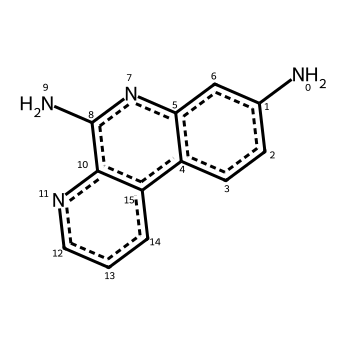 Nc1ccc2c(c1)nc(N)c1ncccc12